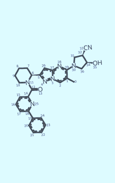 Cc1cn2nc([C@@H]3CCCCN3C(=O)c3cccc(-c4ccccc4)n3)cc2nc1N1C[C@@H](C#N)[C@@H](O)C1